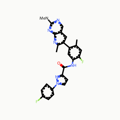 CNc1ncc2cc(-c3cc(NC(=O)c4ccn(-c5ccc(F)cc5)n4)c(F)cc3C)c(C)nc2n1